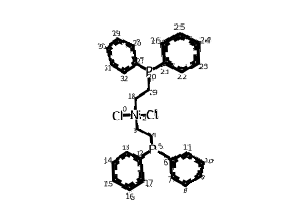 [Cl][Ni]([Cl])([CH2]CP(c1ccccc1)c1ccccc1)[CH2]CP(c1ccccc1)c1ccccc1